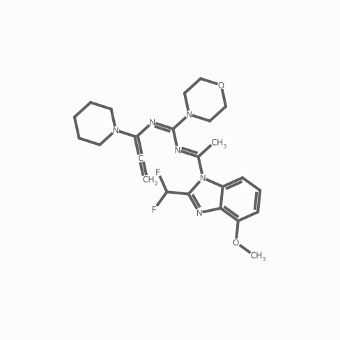 C=C=C(/N=C(\N=C(/C)n1c(C(F)F)nc2c(OC)cccc21)N1CCOCC1)N1CCCCC1